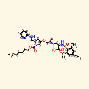 CCCCCCOC(=O)N1CC(OCC(=O)NCC(NS(=O)(=O)c2c(C)cc(C)cc2C)C(=O)O)CC1CNc1ccccn1